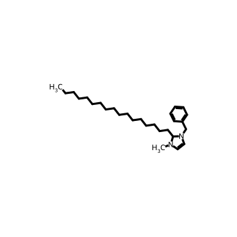 CCCCCCCCCCCCCCCCCC1N(C)C=CN1Cc1ccccc1